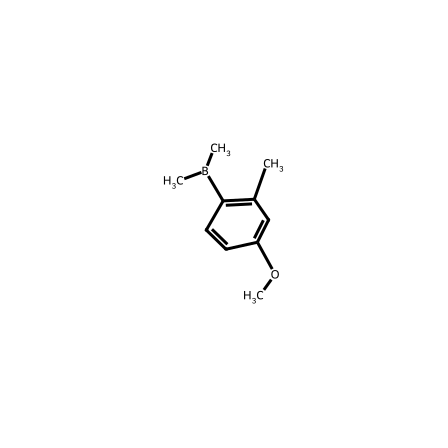 COc1ccc(B(C)C)c(C)c1